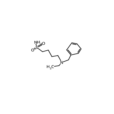 CCN(CCCCS(N)(=O)=O)Cc1ccccc1